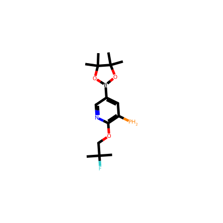 CC(C)(F)COc1ncc(B2OC(C)(C)C(C)(C)O2)cc1P